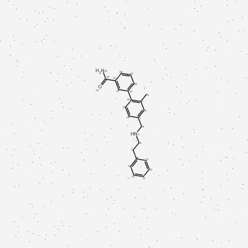 Cc1cc(CNCCc2ccccc2)ccc1-c1cccc(C(N)=O)c1